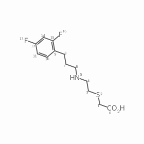 O=C(O)CSCCNCCCc1ccc(F)cc1F